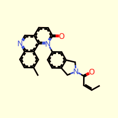 C/C=C\C(=O)N1Cc2ccc(-n3c(=O)ccc4cnc5ccc(C)cc5c43)cc2C1